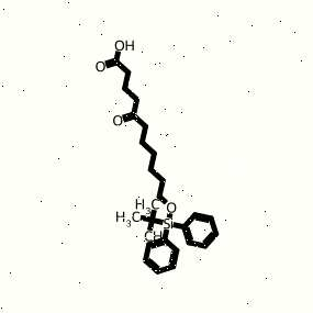 CC(C)(C)[Si](OCCCCCCC(=O)CCCC(=O)O)(c1ccccc1)c1ccccc1